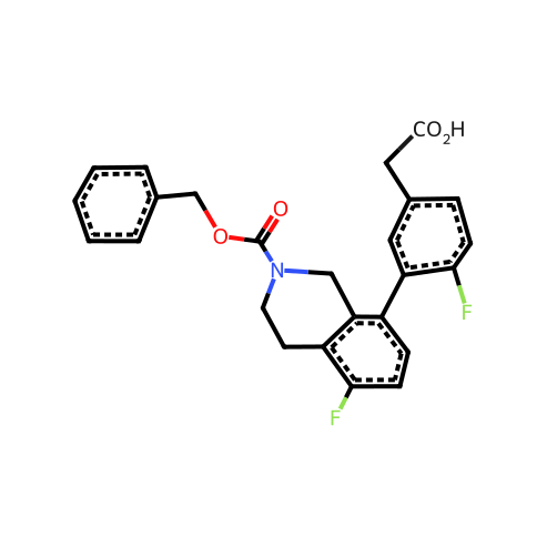 O=C(O)Cc1ccc(F)c(-c2ccc(F)c3c2CN(C(=O)OCc2ccccc2)CC3)c1